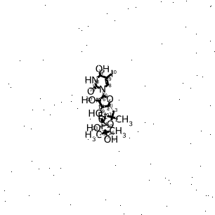 CCC(C)(C[C@H]1O[C@@H](N2C=C(I)C(O)NC2=O)[C@H](O)[C@@H]1O)OP(=O)(O)C(C)(C)O